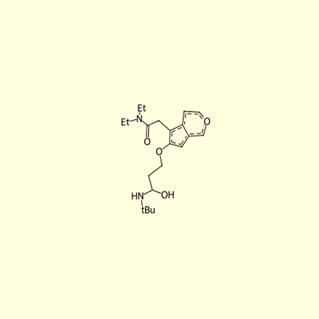 CCN(CC)C(=O)Cc1c(OCCC(O)NC(C)(C)C)cc2coccc1-2